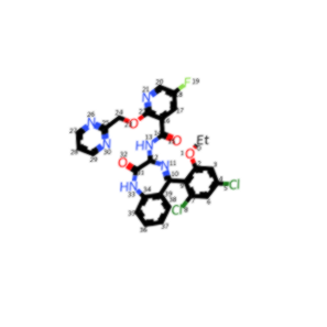 CCOc1cc(Cl)cc(Cl)c1C1=NC(NC(=O)c2cc(F)cnc2OCc2ncccn2)C(=O)Nc2ccccc21